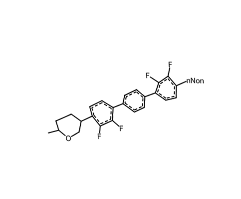 CCCCCCCCCc1ccc(-c2ccc(-c3ccc(C4CCC(C)OC4)c(F)c3F)cc2)c(F)c1F